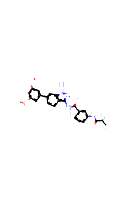 COc1cc(OC)cc(-c2ccc3c(NC(=O)c4cccc(NC(=O)C(C)Cl)c4)n[nH]c3c2)c1